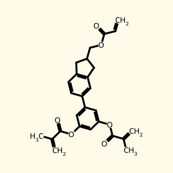 C=CC(=O)OCC1Cc2ccc(-c3cc(OC(=O)C(=C)C)cc(OC(=O)C(=C)C)c3)cc2C1